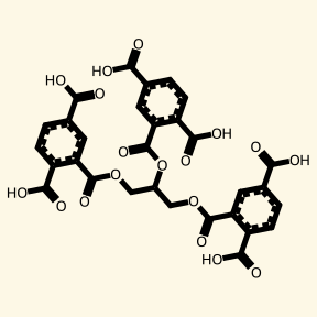 O=C(O)c1ccc(C(=O)O)c(C(=O)OCC(COC(=O)c2cc(C(=O)O)ccc2C(=O)O)OC(=O)c2cc(C(=O)O)ccc2C(=O)O)c1